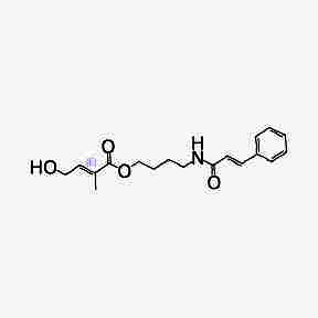 C/C(=C\CO)C(=O)OCCCCNC(=O)C=Cc1ccccc1